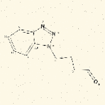 O=CCCCn1nnc2ccccc21